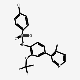 Cc1ccncc1-c1ccc(NS(=O)(=O)c2ccc(Cl)cc2)c(OC(F)(F)F)c1